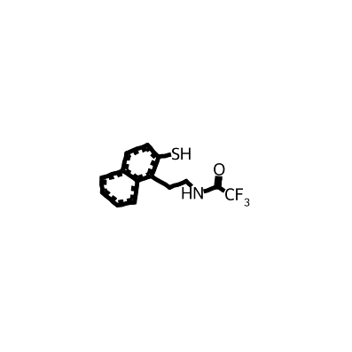 O=C(NCCc1c(S)ccc2ccccc12)C(F)(F)F